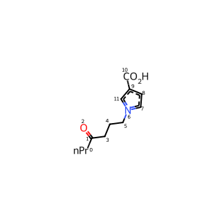 CCCC(=O)CCCn1ccc(C(=O)O)c1